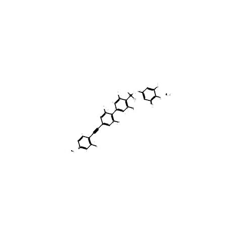 CCOc1ccc(C#Cc2cc(F)c(-c3cc(F)c(C(F)(F)Oc4cc(F)c(OC(F)(F)F)c(F)c4)c(F)c3)c(F)c2)c(F)c1